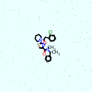 C[C@H](c1ccccc1)N(C)C(=O)c1csc([N+]2(C(=O)Cc3ccccc3Cl)CCCCC2)n1